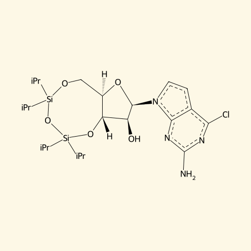 CC(C)[Si]1(C(C)C)OC[C@H]2O[C@@H](n3ccc4c(Cl)nc(N)nc43)[C@@H](O)[C@@H]2O[Si](C(C)C)(C(C)C)O1